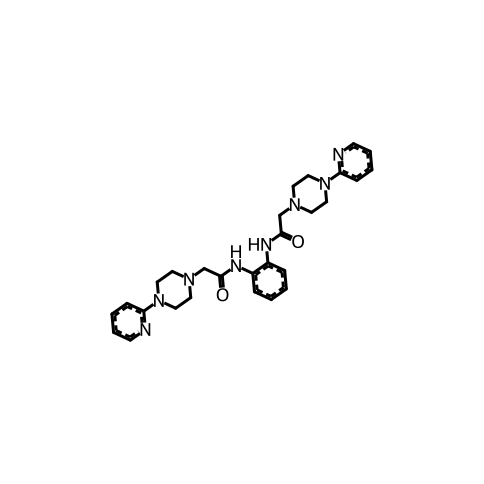 O=C(CN1CCN(c2ccccn2)CC1)Nc1ccccc1NC(=O)CN1CCN(c2ccccn2)CC1